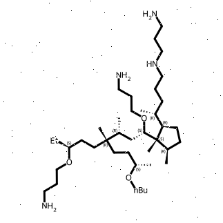 CCCCO[C@@H](C)CC[C@](C)(CC[C@H](CC)OCCCN)[C@H](C)C[C@H](OCCCN)[C@@]1(C)[C@H](C)CC[C@@H]1[C@H](C)CCCNCCCN